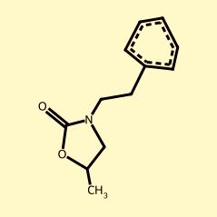 CC1CN(CCc2ccccc2)C(=O)O1